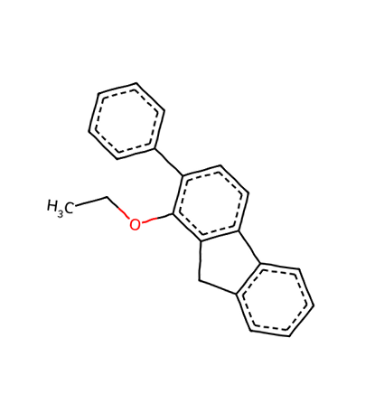 CCOc1c(-c2ccccc2)ccc2c1Cc1ccccc1-2